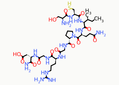 CC[C@H](C)[C@H](NC(=O)[C@H](CS)NC(=O)[C@@H](N)CO)C(=O)N[C@@H](CCC(N)=O)C(=O)N1CCC[C@H]1C(=O)NCC(=O)N[C@@H](CCCNC(=N)N)C(=O)NCC(=O)N[C@@H](CC(=O)O)C(N)=O